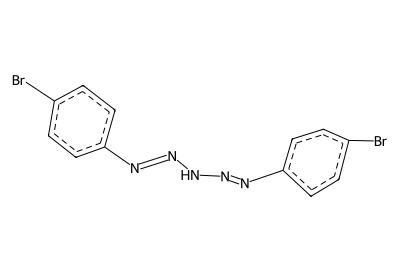 Brc1ccc(/N=N/N/N=N/c2ccc(Br)cc2)cc1